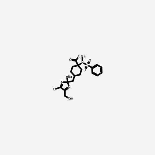 CCCCC1(CC2CCC(C(=O)OC)(N(C)S(=O)(=O)c3ccccc3)CC2)N=C(Cl)C(CO)=N1